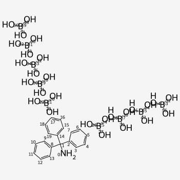 NC(c1ccccc1)(c1ccccc1)c1ccccc1.OB(O)O.OB(O)O.OB(O)O.OB(O)O.OB(O)O.OB(O)O.OB(O)O.OB(O)O.OB(O)O